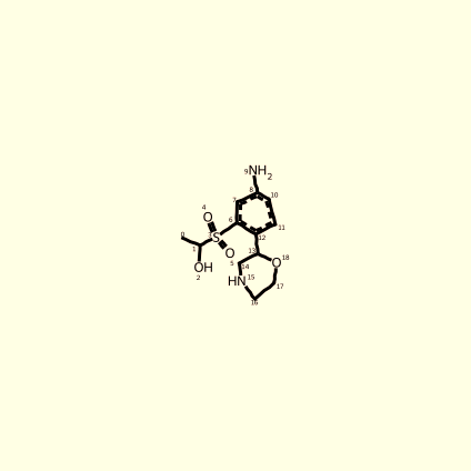 CC(O)S(=O)(=O)c1cc(N)ccc1C1CNCCO1